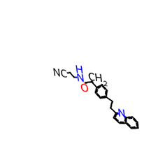 C=C(C(=O)NCCC#N)c1ccc(CCc2ccc3ccccc3n2)cc1